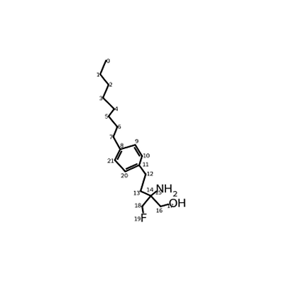 CCCCCCCCc1ccc(CCC(N)(CO)CF)cc1